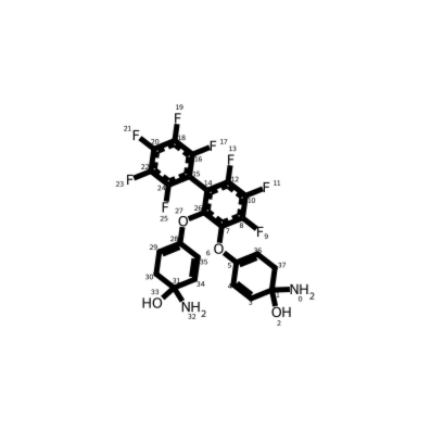 NC1(O)C=CC(Oc2c(F)c(F)c(F)c(-c3c(F)c(F)c(F)c(F)c3F)c2OC2=CCC(N)(O)C=C2)=CC1